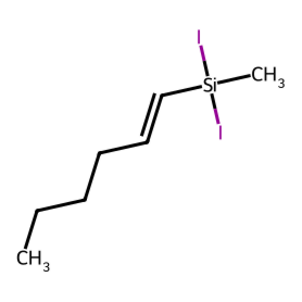 CCCCC=C[Si](C)(I)I